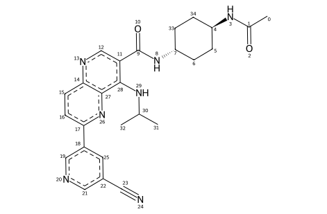 CC(=O)N[C@H]1CC[C@H](NC(=O)c2cnc3ccc(-c4cncc(C#N)c4)nc3c2NC(C)C)CC1